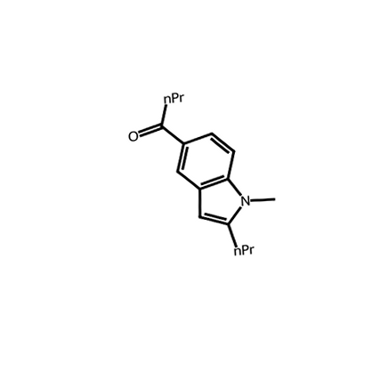 CCCC(=O)c1ccc2c(c1)cc(CCC)n2C